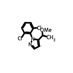 COC(C)c1[c]cnn1-c1c(Cl)cccc1Cl